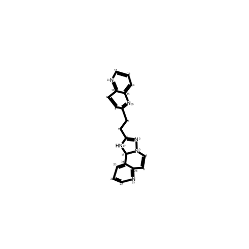 C1=CN2N=C(CCc3ccc4ncccc4n3)NC2c2cccnc21